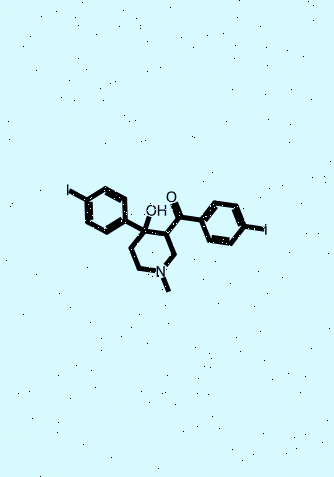 CN1CCC(O)(c2ccc(I)cc2)C(C(=O)c2ccc(I)cc2)C1